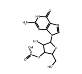 Nc1nc2c(ncn2C2OC(CO)C(O[PH](=O)O)C2O)c(=O)[nH]1